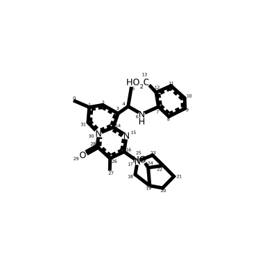 Cc1cc(C(C)Nc2ccccc2C(=O)O)c2nc(N3CC4CCC(C3)C4O)c(C)c(=O)n2c1